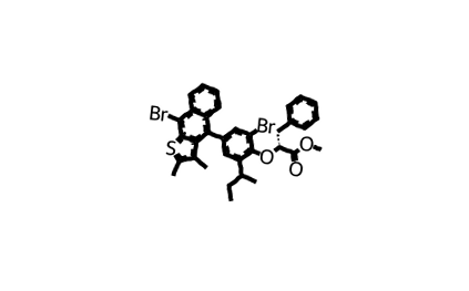 CCC(C)c1cc(-c2c3ccccc3c(Br)c3sc(C)c(C)c23)cc(Br)c1O[C@H](Cc1ccccc1)C(=O)OC